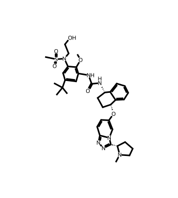 COc1c(NC(=O)N[C@H]2CC[C@@H](Oc3ccc4nnc([C@@H]5CCCN5C)n4c3)c3ccccc32)cc(C(C)(C)C)cc1N(CCO)S(C)(=O)=O